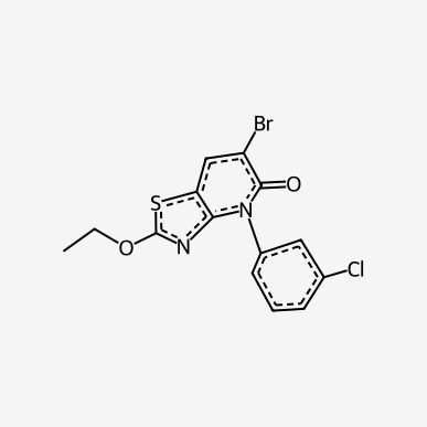 CCOc1nc2c(cc(Br)c(=O)n2-c2cccc(Cl)c2)s1